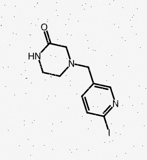 O=C1CN(Cc2ccc(I)nc2)CCN1